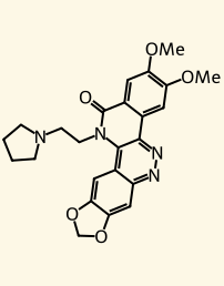 COc1cc2c(=O)n(CCN3CCCC3)c3c4cc5c(cc4nnc3c2cc1OC)OCO5